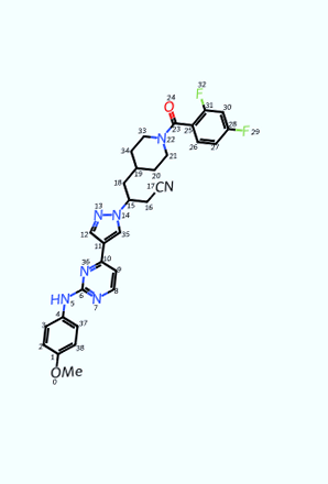 COc1ccc(Nc2nccc(-c3cnn(C(CC#N)CC4CCN(C(=O)c5ccc(F)cc5F)CC4)c3)n2)cc1